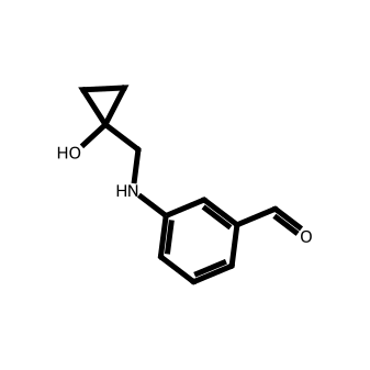 O=Cc1cccc(NCC2(O)CC2)c1